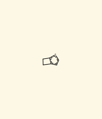 [c]1csc2c1CC2